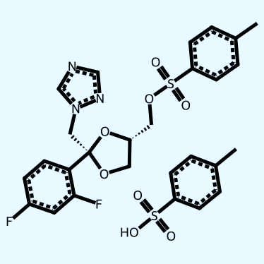 Cc1ccc(S(=O)(=O)O)cc1.Cc1ccc(S(=O)(=O)OC[C@@H]2CO[C@@](Cn3cncn3)(c3ccc(F)cc3F)O2)cc1